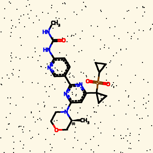 CNC(=O)Nc1ccc(-c2nc(N3CCOC[C@@H]3C)cc(C3(S(=O)(=O)C4CC4)CC3)n2)cn1